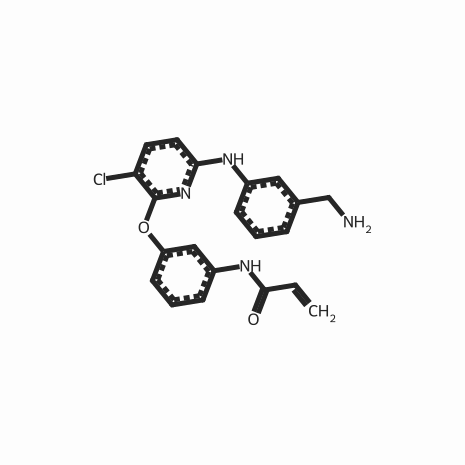 C=CC(=O)Nc1cccc(Oc2nc(Nc3cccc(CN)c3)ccc2Cl)c1